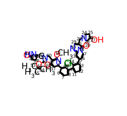 COc1nc(-c2cccc(-c3cccc(-c4ccn5c(=O)c(CN6CC[C@H](O)C6)cnc5c4)c3Cl)c2Cl)ccc1CN(C[C@@H]1CCC(=O)N1)C(=O)OC(C)(C)C